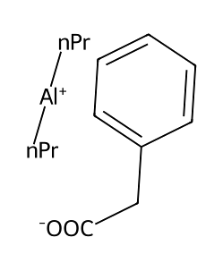 CC[CH2][Al+][CH2]CC.O=C([O-])Cc1ccccc1